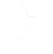 C/C=C(\O/N=C(/C)N)C(C)CC